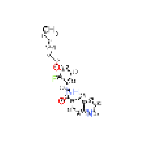 CCCC=CCCOc1cccc(CNC(=O)c2ccc3ncccc3c2)c1F